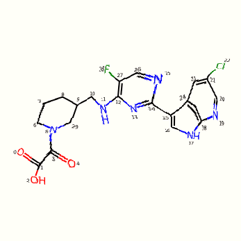 O=C(O)C(=O)N1CCCC(CNc2nc(-c3c[nH]c4ncc(Cl)cc34)ncc2F)C1